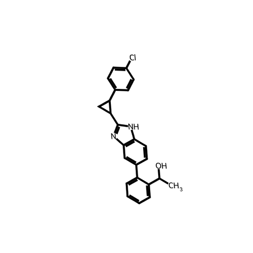 CC(O)c1ccccc1-c1ccc2[nH]c(C3CC3c3ccc(Cl)cc3)nc2c1